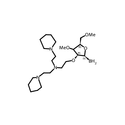 B[C@@H]1O[C@H](COC)C(OC)[C@@H]1OCCN(CCN1CCCCC1)CCN1CCCCC1